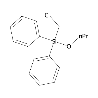 CCCO[Si](CCl)(c1ccccc1)c1ccccc1